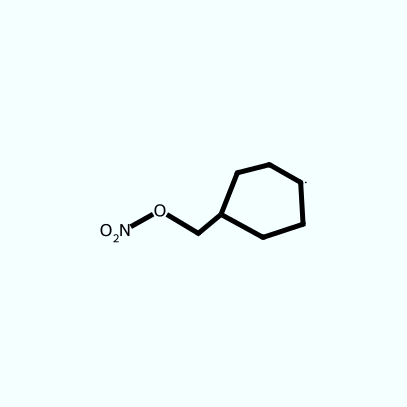 O=[N+]([O-])OCC1CC[CH]CC1